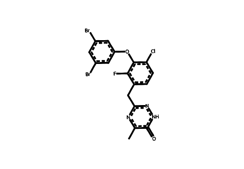 Cc1nc(Cc2ccc(Cl)c(Oc3cc(Br)cc(Br)c3)c2F)n[nH]c1=O